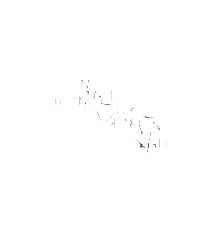 CCCN(Cc1ccc(C(=O)Nc2ccnc3[nH]ncc23)cc1)C(=N)N